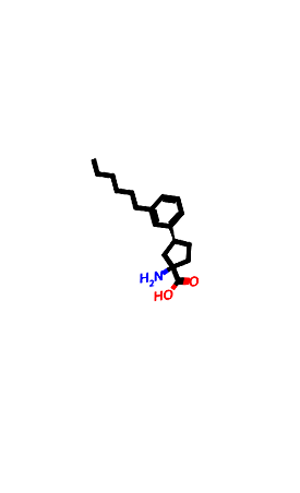 CCCCCCc1cccc([C@H]2CCC(N)(C(=O)O)C2)c1